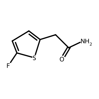 NC(=O)Cc1ccc(F)s1